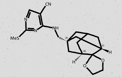 CSc1ncc(C#N)c(NC[C@@]23CC4C[C@H](C2)C2(OCCO2)[C@@H](C4)C3)n1